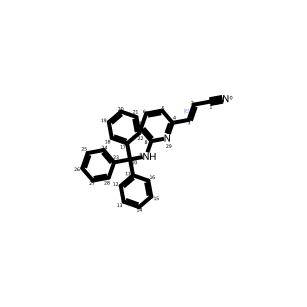 N#C/C=C/c1cccc(NC(c2ccccc2)(c2ccccc2)c2ccccc2)n1